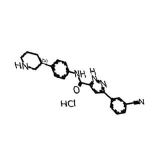 Cl.N#Cc1cccc(-c2cc(C(=O)Nc3ccc([C@@H]4CCCNC4)cc3)[nH]n2)c1